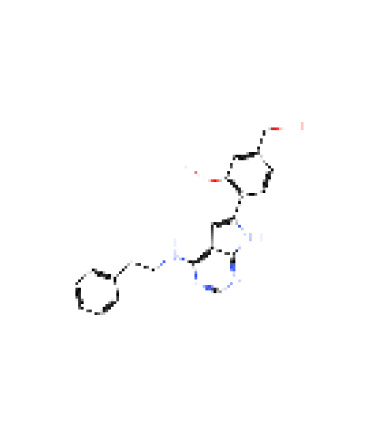 COc1cc(CO)ccc1-c1cc2c(NCCc3ccccc3)ncnc2[nH]1